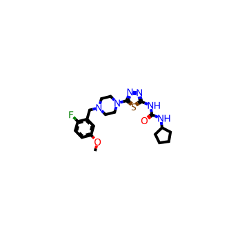 COc1ccc(F)c(CN2CCN(c3nnc(NC(=O)NC4CCCC4)s3)CC2)c1